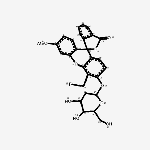 COc1ccc2c(c1)Oc1c(ccc(OC3CC(O)C(O)C(CO)O3)c1CF)C21OC(=O)c2ccccc21